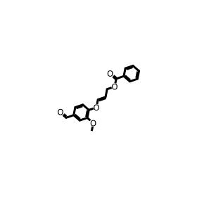 COc1cc(C=O)ccc1O/C=C/COC(=O)c1ccccc1